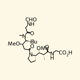 CC[C@H](C)[C@@H]([C@@H](CC(=O)N1CCC[C@H]1[C@H](OC)[C@@H](C)C(=O)NCC(=O)O)OC)N(C)C(=O)CNC=O